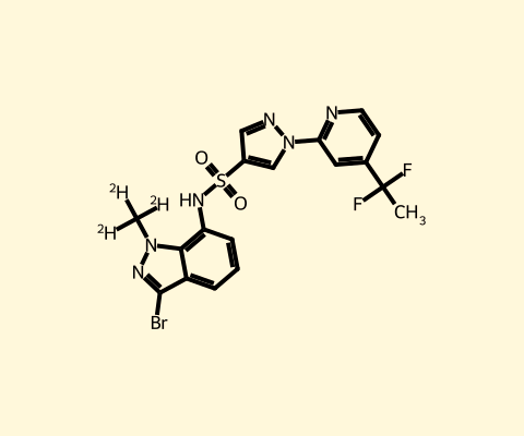 [2H]C([2H])([2H])n1nc(Br)c2cccc(NS(=O)(=O)c3cnn(-c4cc(C(C)(F)F)ccn4)c3)c21